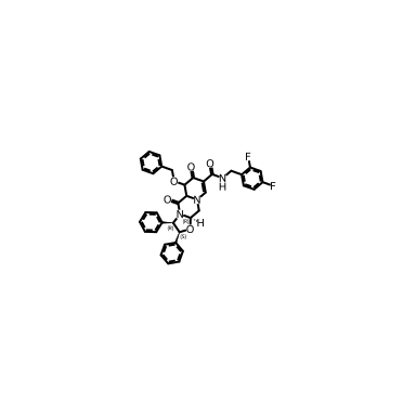 O=C(NCc1ccc(F)cc1F)C1=CN2C[C@H]3O[C@@H](c4ccccc4)[C@@H](c4ccccc4)N3C(=O)C2C(OCc2ccccc2)C1=O